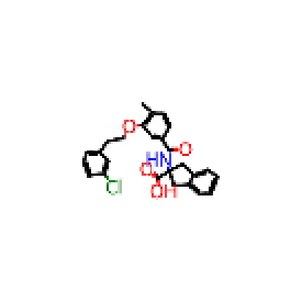 Cc1ccc(C(=O)NC2(C(=O)O)Cc3ccccc3C2)cc1OCCc1cccc(Cl)c1